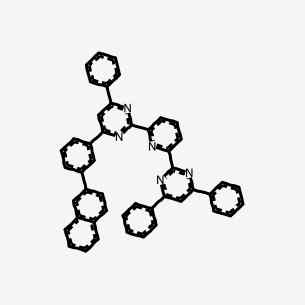 c1ccc(-c2cc(-c3ccccc3)nc(-c3cccc(-c4nc(-c5ccccc5)cc(-c5cccc(-c6ccc7ccccc7c6)c5)n4)n3)n2)cc1